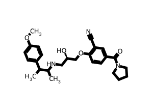 COc1ccc(C(C)C(C)NC[C@@H](O)COc2ccc(C(=O)N3CCCC3)cc2C#N)cc1